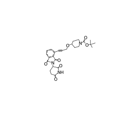 CC(C)(C)OC(=O)N1CCC(OCC#Cc2cccc3c2C(=O)N(C2CCC(=O)NC2=O)C3=O)CC1